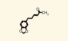 CC(=O)/C=C/CCc1ccc2c(c1)OCO2